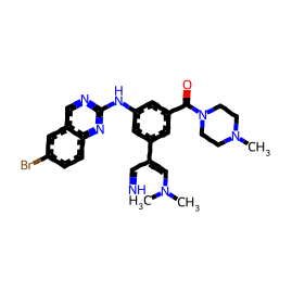 CN(C)/C=C(\C=N)c1cc(Nc2ncc3cc(Br)ccc3n2)cc(C(=O)N2CCN(C)CC2)c1